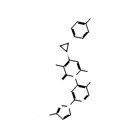 Cc1cnc(-n2ccc(C(=O)O)n2)cc1-n1c(C)cc([C@H]2C[C@@H]2c2ccc(F)cc2)c(Cl)c1=O